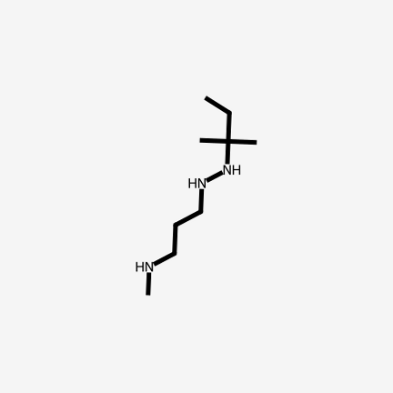 CCC(C)(C)NNCCCNC